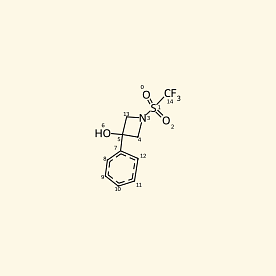 O=S(=O)(N1CC(O)(c2ccccc2)C1)C(F)(F)F